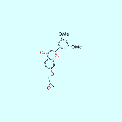 COc1cc(OC)cc(-c2cc(=O)c3ccc(OCC4CO4)cc3o2)c1